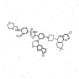 C[C@@H]1CN(c2cc(N3CCC([C@@H](O)C4=C(c5ccc(Cl)cc5)CC(C)(C)CC4)CC3)ccc2C(=O)NS(=O)(=O)c2ccc(NC[C@@H]3COCCO3)c([N+](=O)[O-])c2)c2cc3cc[nH]c3nc2O1